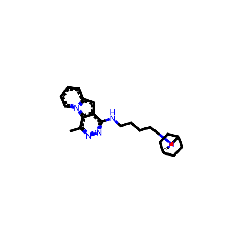 Cc1nnc(NCCCCN2CC3CCC(CC3)C2)c2cc3ccccn3c12